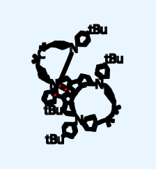 CC(C)(C)c1ccc(N2c3ccc(cc3)C(C)(C)CC(C)(C)c3ccc(cc3)N(c3ccc(C(C)(C)C)cc3)c3ccc4c(c3)C3(C)c5cc(ccc5-4)N(c4ccc(C(C)(C)C)cc4)c4ccc(cc4)C(C)(C)CC(C)(C)c4ccc(cc4)N(c4ccc(C(C)(C)C)cc4)c4ccc5c(c4)C3(C)c3cc2ccc3-5)cc1